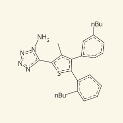 CCCCc1cccc(-c2c(-c3ccccc3CCCC)sc(-c3nnnn3N)c2C)c1